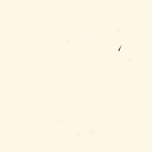 COC[C@@H]1CCCN1C/C=C/C(=O)Nc1ccc(-c2cccc(C(C)C(=O)Nc3cc(C4CC4)[nH]n3)c2)cc1F